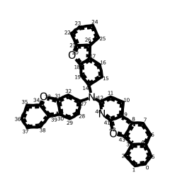 c1ccc2c(c1)ccc1c3ccc(N(c4ccc5c(c4)oc4ccccc45)c4ccc5c(c4)oc4ccccc45)nc3oc21